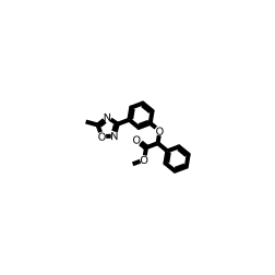 COC(=O)C(Oc1cccc(-c2noc(C)n2)c1)c1ccccc1